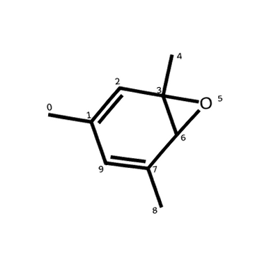 CC1=CC2(C)OC2C(C)=C1